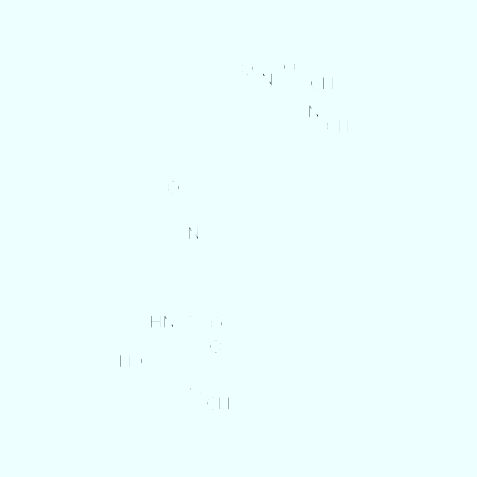 COC(=O)C(C)NC(=O)C1CCN(C(=O)C=Cc2ccc(N(C)C)c([N+](=O)[O-])c2)CC1